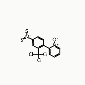 [O-][n+]1ccccc1-c1ccc([N+](=S)[S-])cc1C(Cl)(Cl)Cl